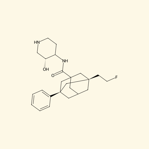 O=C(NC1CCNC[C@H]1O)C12CC3C[C@@](CCF)(C1)C[C@](c1ccccc1)(C3)C2